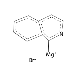 [Br-].[Mg+][c]1nccc2ccccc12